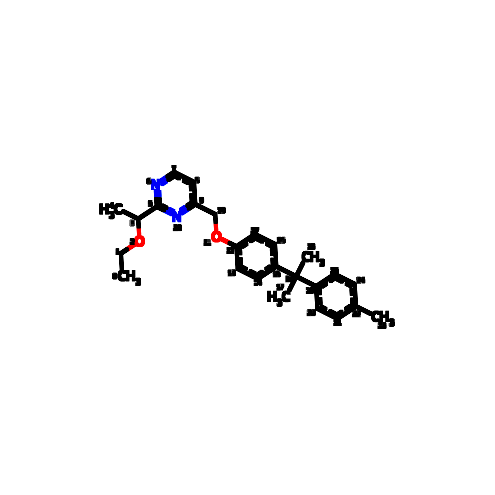 CCOC(C)c1nccc(COc2ccc(C(C)(C)c3ccc(C)cc3)cc2)n1